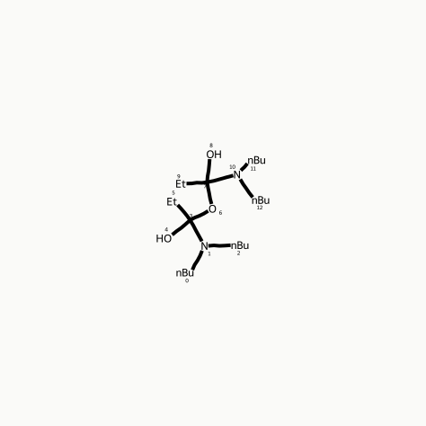 CCCCN(CCCC)C(O)(CC)OC(O)(CC)N(CCCC)CCCC